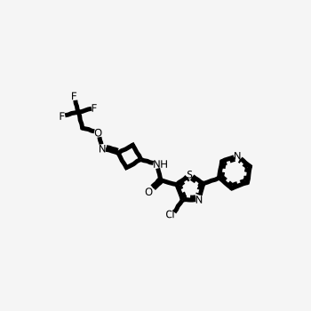 O=C(NC1CC(=NOCC(F)(F)F)C1)c1sc(-c2cccnc2)nc1Cl